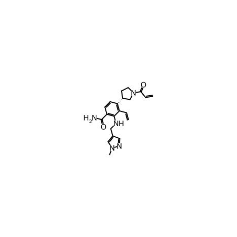 C=CC(=O)N1CC[C@@H](c2ccc(C(N)=O)c(NCc3cnn(C)c3)c2C=C)C1